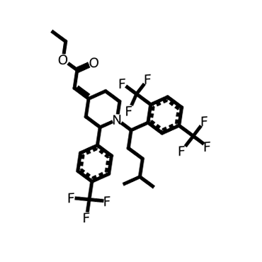 CCOC(=O)C=C1CCN(C(CCC(C)C)c2cc(C(F)(F)F)ccc2C(F)(F)F)C(c2ccc(C(F)(F)F)cc2)C1